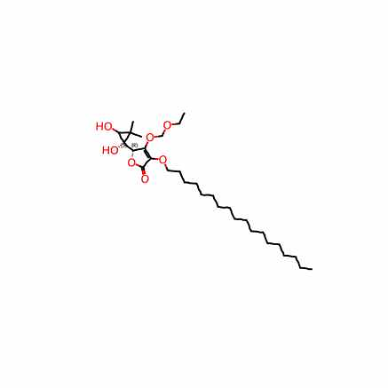 CCCCCCCCCCCCCCCCCCOC1=C(OCOCC)[C@@H]([C@@]2(O)C(O)C2(C)C)OC1=O